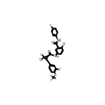 O=C(Nc1ccc(F)cc1)c1cc(NC(=O)C2C(c3ccc(OC(F)(F)F)c(Cl)c3)C2(Cl)Cl)ccc1Cl